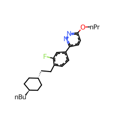 CCCC[C@H]1CC[C@H](CCc2ccc(-c3ccc(OCCC)nn3)cc2F)CC1